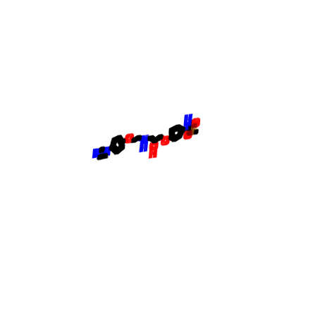 CS(=O)(=O)Nc1ccc(OC[C@@H](O)CNCCOc2ccc(-n3ccnc3)cc2)cc1